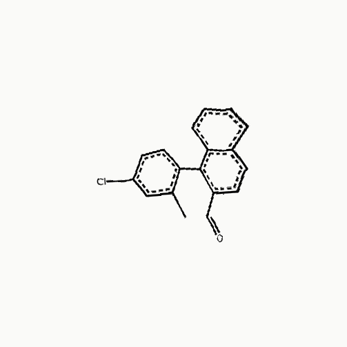 Cc1cc(Cl)ccc1-c1c(C=O)ccc2ccccc12